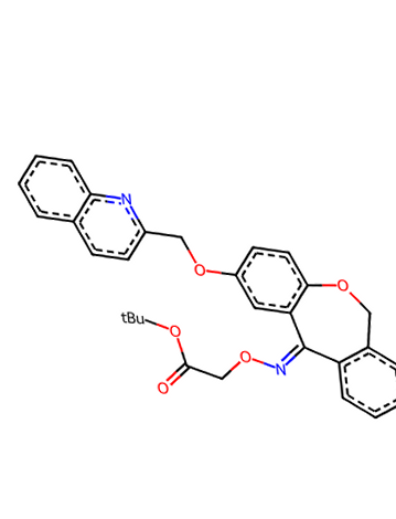 CC(C)(C)OC(=O)CON=C1c2ccccc2COc2ccc(OCc3ccc4ccccc4n3)cc21